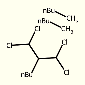 CCCCC.CCCCC.CCCCC(C(Cl)Cl)C(Cl)Cl